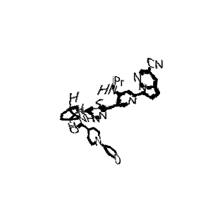 CC(C)Nc1cc(-c2ccc3cc(C#N)cnn23)ncc1-c1nnc(N2C[C@H]3CC[C@@H](C2)[C@@H]3NC(=O)C2CCN(C3COC3)CC2)s1